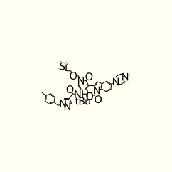 Cc1ccc(Cn2cc(C(=O)Nc3cc(-c4cc5cc(N6CCN(C)CC6)ccc5n4C(=O)OC(C)(C)C)c(=O)n(COCC[Si](C)(C)C)c3)cn2)cc1